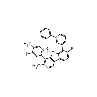 Cc1c[n+](C)c(-c2c(C)ccc3c2oc2c(-c4cccc(-c5ccccc5)c4)c(F)ccc23)cc1F